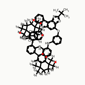 [2H]c1c([2H])c2c(c([2H])c1-c1cccc(-c3c([2H])c([2H])c4c(c3[2H])C(C([2H])([2H])[2H])(C([2H])([2H])[2H])C([2H])([2H])C([2H])([2H])C4(C([2H])([2H])[2H])C([2H])([2H])[2H])c1Nc1ccccc1Nc1cccc(Oc3cc4c(c5ccccc5n4-c4cc(C(C)(C)C)ccn4)c4nc(C(C)(C)C)oc34)c1)C(C([2H])([2H])[2H])(C([2H])([2H])[2H])C([2H])([2H])C([2H])([2H])C2(C([2H])([2H])[2H])C([2H])([2H])[2H]